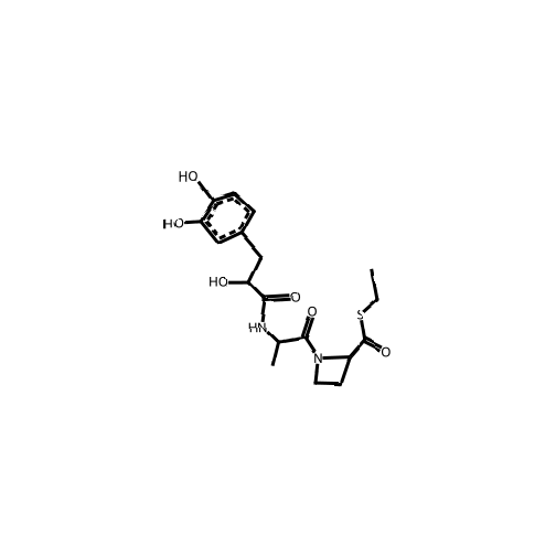 CCSC(=O)C1CCN1C(=O)C(C)NC(=O)C(O)Cc1ccc(O)c(O)c1